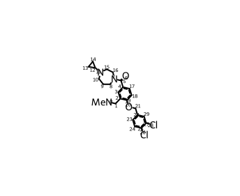 CNCc1cc(C(=O)N2CCCN(C3CC3)CC2)ccc1OCc1ccc(Cl)c(Cl)c1